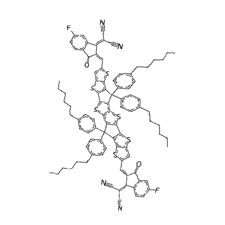 CCCCCCc1ccc(C2(c3ccc(CCCCCC)cc3)c3c(sc4cc(/C=C5\C(=O)c6cc(F)ccc6C5=C(C#N)C#N)sc34)-c3sc4c5c(sc4c32)-c2sc3cc(/C=C4\C(=O)c6ccc(F)cc6C4=C(C#N)C#N)sc3c2C5(c2ccc(CCCCCC)cc2)c2ccc(CCCCCC)cc2)cc1